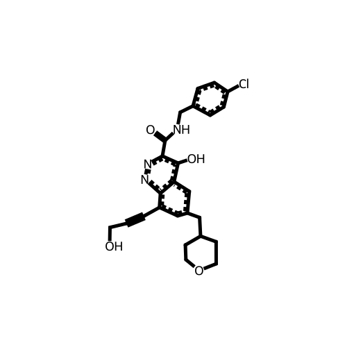 O=C(NCc1ccc(Cl)cc1)c1nnc2c(C#CCO)cc(CC3CCOCC3)cc2c1O